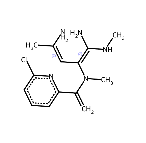 C=C(c1cccc(Cl)n1)N(C)C(/C=C(/C)N)=C(/N)NC